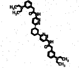 CCN(CC)c1cccc(CC(=O)Nc2ccc([C@H]3CCC[C@H](c4ccc(NC(=O)Cc5cccc(N(CC)CC)c5)nn4)C3)nn2)c1